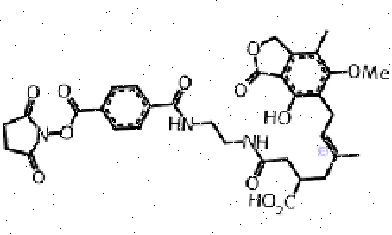 COc1c(C)c2c(c(O)c1C/C=C(\C)CC(CC(=O)NCCNC(=O)c1ccc(C(=O)ON3C(=O)CCC3=O)cc1)C(=O)O)C(=O)OC2